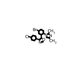 Cc1cn(-c2ccc(Br)cc2-c2ocnc2-c2ccc(Cl)cc2)c(C)n1